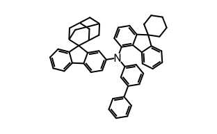 c1ccc(-c2cccc(N(c3ccc4c(c3)C3(c5ccccc5-4)C4CC5CC(C4)CC3C5)c3cccc4c3-c3ccccc3C43CCCCC3)c2)cc1